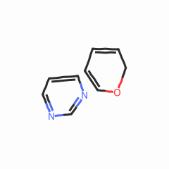 C1=CCOC=C1.c1cncnc1